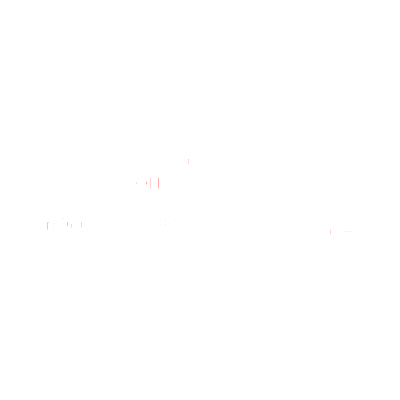 CCCCCCCCCC(O)OC(=O)c1ccc(O)cc1